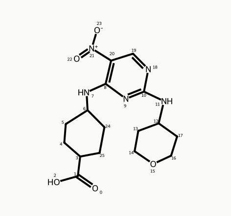 O=C(O)C1CCC(Nc2nc(NC3CCOCC3)ncc2[N+](=O)[O-])CC1